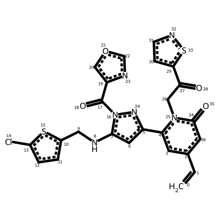 C=Cc1cc(-c2cc(NCc3ccc(Cl)s3)n(C(=O)c3cocn3)n2)n(CC(=O)c2ccns2)c(=O)c1